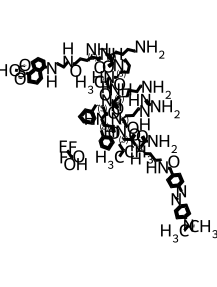 CC(C)C[C@H](NC(=O)[C@H](CCCNC(=N)N)NC(=O)[C@H](Cc1ccccc1)NC(=O)[C@H](Cc1ccccc1)NC(=O)[C@H](CCCCN)NC(=O)[C@H](C)NC(=O)[C@@H]1CCCN1C(=O)[C@H](CCCCN)NC(=O)[C@@H](N)CCC(=O)NCCNc1cccc2c(S(=O)(=O)O)cccc12)C(=O)N[C@@H](CCCCNC(=O)c1ccc(N=Nc2ccc(N(C)C)cc2)cc1)C(N)=O.O=C(O)C(F)(F)F